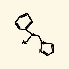 CC(=O)N(Cn1cccn1)c1ccccc1